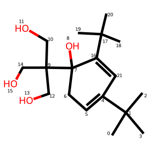 CC(C)(C)C1=CCC(O)(C(CO)(CO)CO)C(C(C)(C)C)=C1